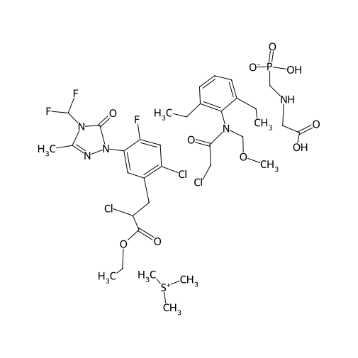 CCOC(=O)C(Cl)Cc1cc(-n2nc(C)n(C(F)F)c2=O)c(F)cc1Cl.CCc1cccc(CC)c1N(COC)C(=O)CCl.C[S+](C)C.O=C(O)CNCP(=O)([O-])O